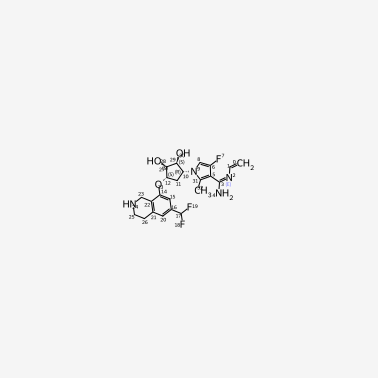 C=C/N=C(/N)c1c(F)cn([C@@H]2C[C@H](Oc3cc(C(F)F)cc4c3CNCC4)[C@@H](O)[C@H]2O)c1C